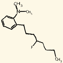 CCCCC(F)CCCc1ccccc1N(C)C